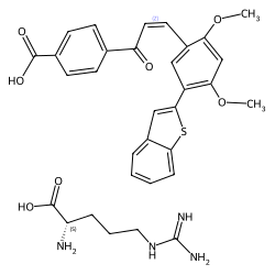 COc1cc(OC)c(-c2cc3ccccc3s2)cc1/C=C\C(=O)c1ccc(C(=O)O)cc1.N=C(N)NCCC[C@H](N)C(=O)O